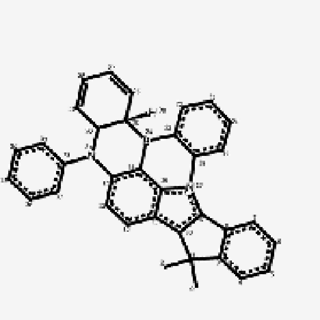 CC1(C)c2ccccc2-c2c1c1ccc3c4c1n2-c1ccccc1B4[C@H]1C=CC=CC1N3c1ccccc1